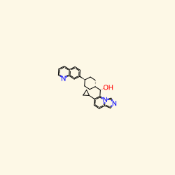 O[C@H](c1c(C2CC2)ccc2cncn12)[C@H]1CC[C@H](c2ccc3cccnc3c2)CC1